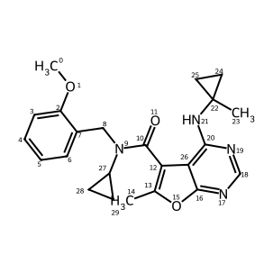 COc1ccccc1CN(C(=O)c1c(C)oc2ncnc(NC3(C)CC3)c12)C1CC1